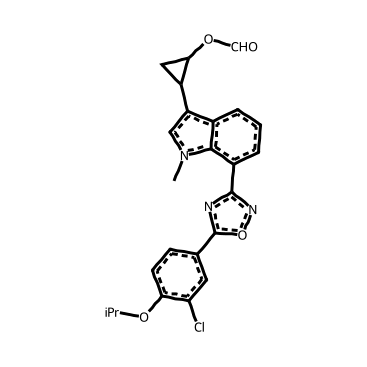 CC(C)Oc1ccc(-c2nc(-c3cccc4c(C5CC5OC=O)cn(C)c34)no2)cc1Cl